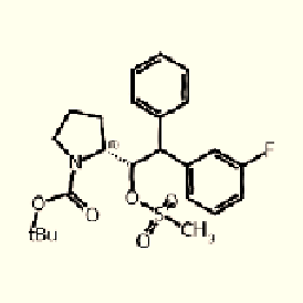 CC(C)(C)OC(=O)N1CCC[C@@H]1C(OS(C)(=O)=O)C(c1ccccc1)c1cccc(F)c1